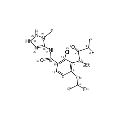 CCN(C(=O)C(C)F)c1c(OC(F)F)ccc(C(=O)NC2=NNNN2C)c1Cl